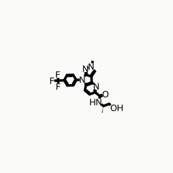 C[C@@H](CO)NC(=O)c1ccc2c(n1)c1cn(C)nc1n2-c1ccc(C(F)(F)F)cc1